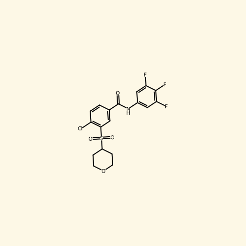 O=C(Nc1cc(F)c(F)c(F)c1)c1ccc(Cl)c(S(=O)(=O)C2CCOCC2)c1